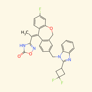 C/C(=C1/c2ccc(Cn3c(C4CC(F)(F)C4)nc4ccccc43)cc2COc2cc(F)ccc21)c1noc(=O)[nH]1